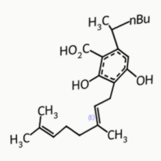 CCCCC(C)c1cc(O)c(C/C=C(\C)CCC=C(C)C)c(O)c1C(=O)O